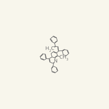 C=C(/C=C(/C1=CC=CCC1)C1=CCC2C(c3ccccc3)=CC(c3ccccc3)=NC2=C1C)c1ccccc1